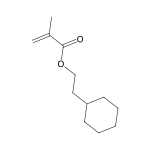 C=C(C)C(=O)OCCC1CCCCC1